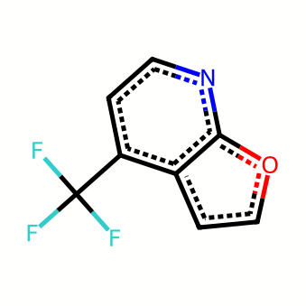 FC(F)(F)c1ccnc2occc12